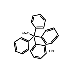 Br.COP(c1ccccc1)(c1ccccc1)(c1ccccc1)c1ccccc1